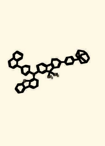 CC1(C)c2cc(-c3ccc(C45CC6CC(CC(C6)C4)C5)cc3)ccc2-c2ccc(N(c3ccc(-c4cccc5ccccc45)cc3)c3cccc4c3oc3ccccc34)cc21